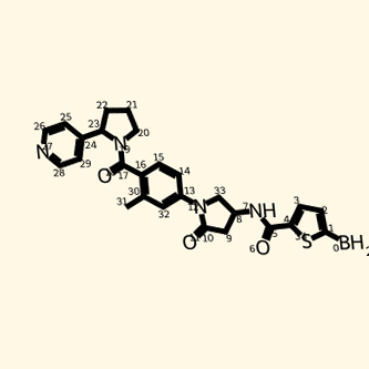 Bc1ccc(C(=O)NC2CC(=O)N(c3ccc(C(=O)N4CCCC4c4ccncc4)c(C)c3)C2)s1